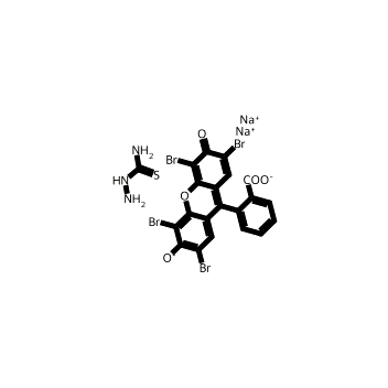 NNC(N)=S.O=C([O-])c1ccccc1-c1c2cc(Br)c(=O)c(Br)c-2oc2c(Br)c([O-])c(Br)cc12.[Na+].[Na+]